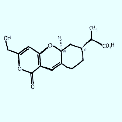 CC(C(=O)O)[C@H]1CCC2=Cc3c(cc(CO)oc3=O)O[C@H]2C1